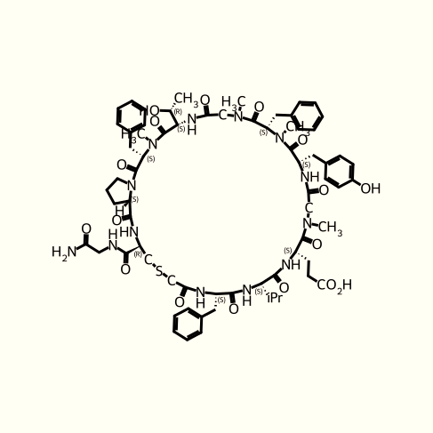 CC(C)[C@@H]1NC(=O)[C@H](Cc2ccccc2)NC(=O)CSC[C@@H](C(=O)NCC(N)=O)NC(=O)[C@@H]2CCCN2C(=O)[C@H](Cc2ccccc2)N(C)C(=O)[C@H]([C@@H](C)O)NC(=O)CN(C)C(=O)[C@H](Cc2ccccc2)N(C)C(=O)[C@H](Cc2ccc(O)cc2)NC(=O)CN(C)C(=O)[C@H](CCC(=O)O)NC1=O